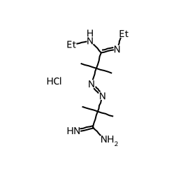 CCN=C(NCC)C(C)(C)N=NC(C)(C)C(=N)N.Cl